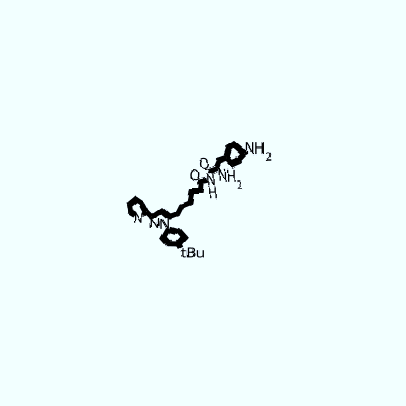 CC(C)(C)c1ccc(-n2nc(-c3ccccn3)cc2CCCCCC(=O)NC(=O)C(N)Cc2ccc(N)cc2)cc1